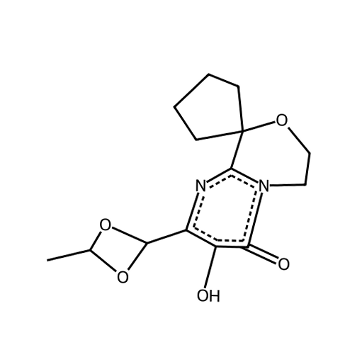 CC1OC(c2nc3n(c(=O)c2O)CCOC32CCCC2)O1